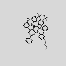 CCCCc1ccc(N2c3cc(-c4ccccc4)cc4c3B(c3c2oc2cc5c(cc32)C(C)(C)CCC5(C)C)N2c3ccccc3Oc3cccc-4c32)c(-c2ccccc2)c1